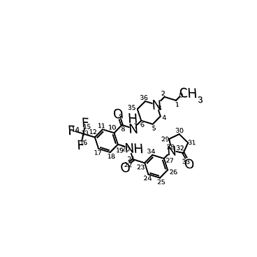 CCCN1CCC(NC(=O)c2cc(C(F)(F)F)ccc2NC(=O)c2cccc(N3CCCC3=O)c2)CC1